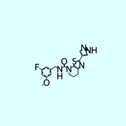 COc1cc(F)cc(CNC(=O)N2CCCc3nc(-c4cn[nH]c4)sc32)c1